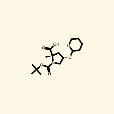 CC(C)(C)OC(=O)N1C[C@@H](OC2CCCCO2)C[C@@]1(C)C(=O)O